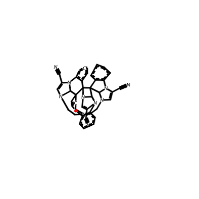 N#CC1=CN2CCN3CCN4C=C(C#N)N5c6ccccc6C6(C45)C4N5C(C#N)=CN4C64c6ccccc6N1C2C4(/C=C\Cc1ccccc15)CC3